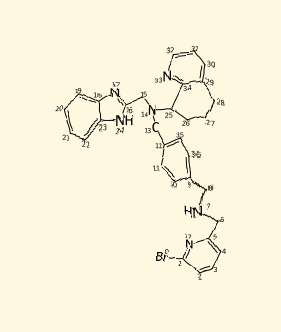 Brc1cccc(CNCc2ccc(CN(Cc3nc4ccccc4[nH]3)C3CCCc4cccnc43)cc2)n1